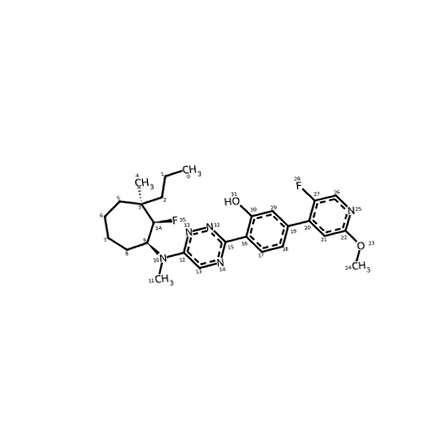 CCC[C@]1(C)CCCC[C@H](N(C)c2cnc(-c3ccc(-c4cc(OC)ncc4F)cc3O)nn2)[C@@H]1F